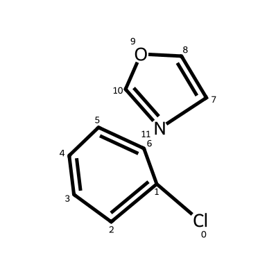 Clc1ccccc1.c1cocn1